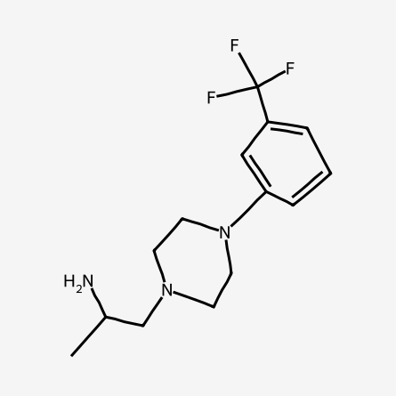 CC(N)CN1CCN(c2cccc(C(F)(F)F)c2)CC1